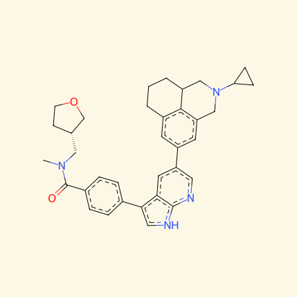 CN(C[C@@H]1CCOC1)C(=O)c1ccc(-c2c[nH]c3ncc(-c4cc5c6c(c4)CN(C4CC4)CC6CCC5)cc23)cc1